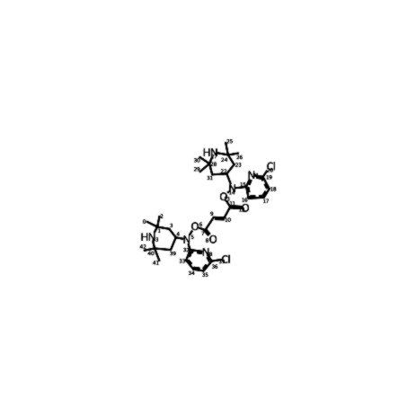 CC1(C)CC(N(OC(=O)/C=C/C(=O)ON(c2cccc(Cl)n2)C2CC(C)(C)NC(C)(C)C2)c2cccc(Cl)n2)CC(C)(C)N1